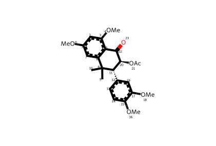 COc1cc(OC)c2c(c1)C(C)(C)[C@@H](c1ccc(OC)c(OC)c1)[C@H](OC(C)=O)C2=O